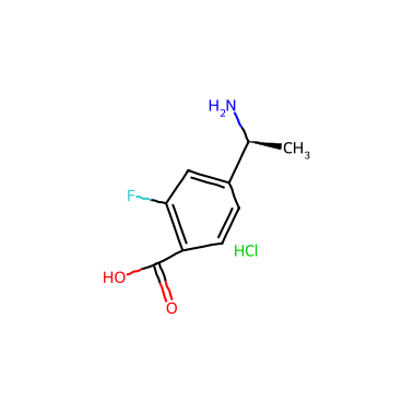 C[C@H](N)c1ccc(C(=O)O)c(F)c1.Cl